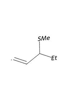 [CH]=CC(CC)SC